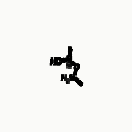 C[SiH2]O[SiH](C)O